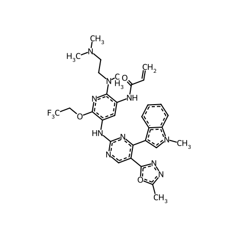 C=CC(=O)Nc1cc(Nc2ncc(-c3nnc(C)o3)c(-c3cn(C)c4ccccc34)n2)c(OCC(F)(F)F)nc1N(C)CCN(C)C